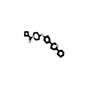 O=C(C1CCC1)N1CCC(Oc2ccc(-c3ccc(-c4ccccc4)nc3)cc2)CC1